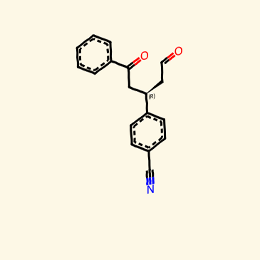 N#Cc1ccc([C@H](CC=O)CC(=O)c2ccccc2)cc1